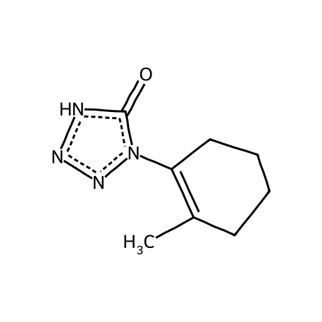 CC1=C(n2nn[nH]c2=O)CCCC1